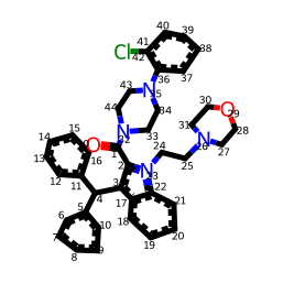 O=C(c1c(C(c2ccccc2)c2ccccc2)c2ccccc2n1CCN1CCOCC1)N1CCN(c2ccccc2Cl)CC1